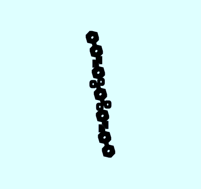 O=C(Oc1ccc(/N=N/c2ccc(-c3ccccc3)cc2)cc1)c1ccc(C(=O)Oc2ccc(/N=N/c3ccc(-c4ccccc4)cc3)cc2)cc1